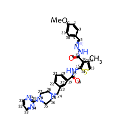 COc1ccc(/C=N/NC(=O)c2c(C)csc2NC(=O)c2cccc(CN3CCN(c4ncccn4)CC3)c2)cc1